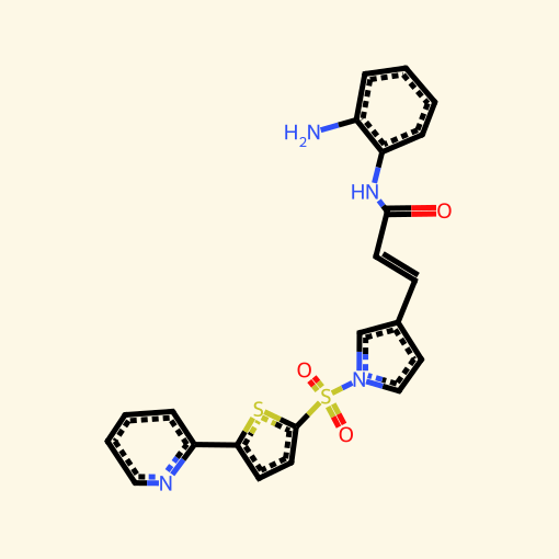 Nc1ccccc1NC(=O)C=Cc1ccn(S(=O)(=O)c2ccc(-c3ccccn3)s2)c1